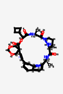 C[C@@H]1NC(=O)C(C2CCC2)OC(=O)C2(/C=C/c3ccc4ccc(nc4c3)[C@@H](C)NC(=O)[C@@H]3CCCN(N3)C1=O)COCOC2